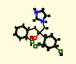 OC(Cc1ccccc1Cl)(Cn1ccnc1)c1ccc(Cl)cc1Cl